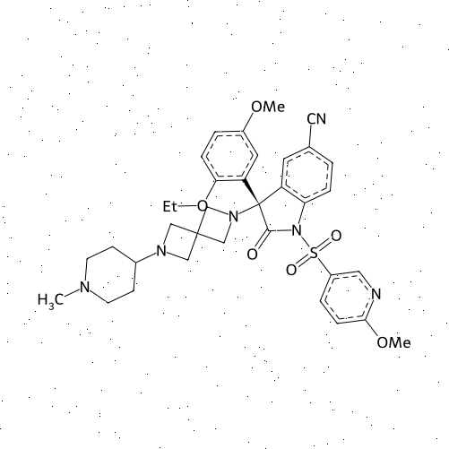 CCOc1ccc(OC)cc1[C@]1(N2CC3(CN(C4CCN(C)CC4)C3)C2)C(=O)N(S(=O)(=O)c2ccc(OC)nc2)c2ccc(C#N)cc21